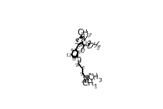 COC(=O)c1nc(C)sc1-c1cccc(OCCCN(C)C)c1